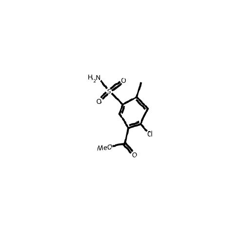 COC(=O)c1cc(S(N)(=O)=O)c(C)cc1Cl